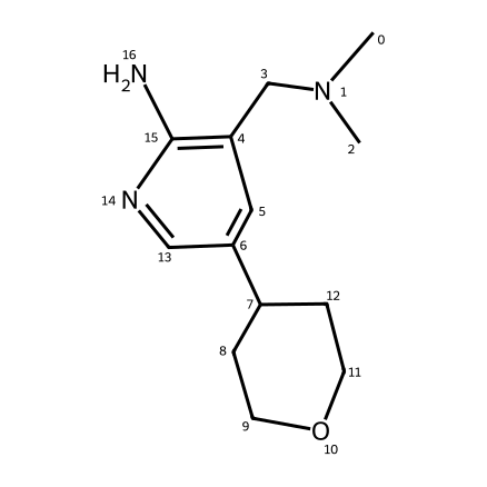 CN(C)Cc1cc(C2CCOCC2)cnc1N